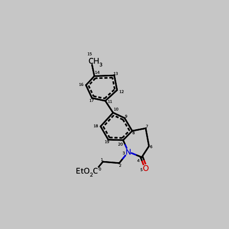 CCOC(=O)CCN1C(=O)CCc2cc(-c3ccc(C)cc3)ccc21